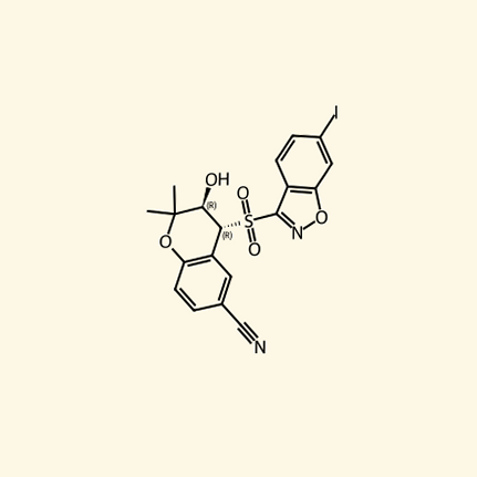 CC1(C)Oc2ccc(C#N)cc2[C@@H](S(=O)(=O)c2noc3cc(I)ccc23)[C@@H]1O